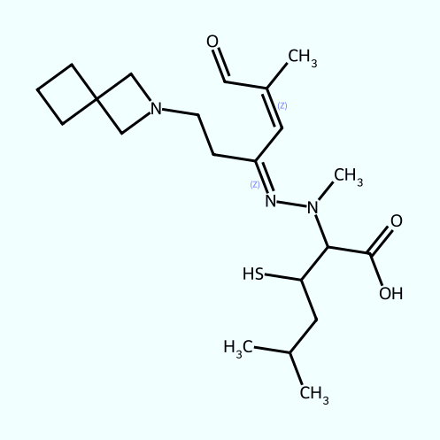 C/C(C=O)=C/C(CCN1CC2(CCC2)C1)=N\N(C)C(C(=O)O)C(S)CC(C)C